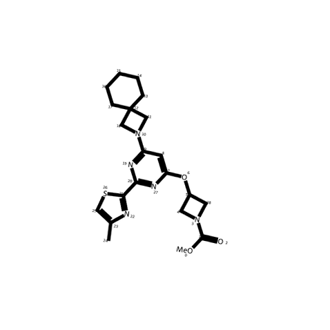 COC(=O)N1CC(Oc2cc(N3CC4(CCCCC4)C3)nc(-c3nc(C)cs3)n2)C1